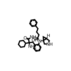 NC(=O)C(N)(C1CCCCC1)C(O)c1ccccc1N(C(=O)CCCc1ccccc1)[C@]12CNC[C@H]1C2